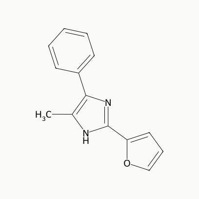 Cc1[nH]c(-c2ccco2)nc1-c1ccccc1